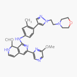 COc1cncc(-c2cc3c(c(Nc4ccc(-c5cnn(CCN6CCOCC6)c5)c(C)c4)n2)C(C=O)NC=C3)n1